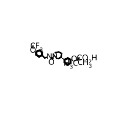 CC(C)(Oc1cccc([C@@H]2CCCN(C(=O)NCc3ccc(OC(F)(F)F)cc3)C2)c1)C(=O)O